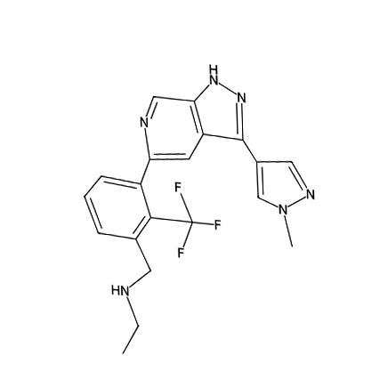 CCNCc1cccc(-c2cc3c(-c4cnn(C)c4)n[nH]c3cn2)c1C(F)(F)F